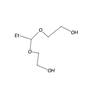 [CH2]CC(OCCO)OCCO